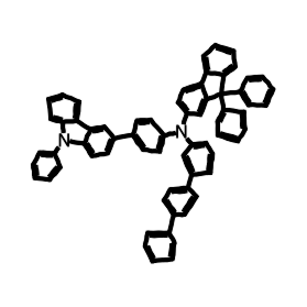 c1ccc(-c2ccc(-c3cccc(N(c4ccc(-c5ccc6c(c5)c5ccccc5n6-c5ccccc5)cc4)c4ccc5c(c4)C(c4ccccc4)(c4ccccc4)c4ccccc4-5)c3)cc2)cc1